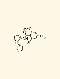 COc1cc(C(F)(F)F)cc(Br)c1C(=O)N[C@H]1CCC[C@H]1N1CCCC1